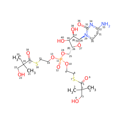 CC(C)(CO)C(=O)SCCOP(=O)(OCCSC(=O)C(C)(C)CO)OC[C@H]1O[C@H](n2ccc(N)nc2=O)[C@H](O)C1O